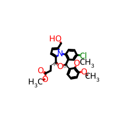 COC(=O)CC[C@H]1O[C@H](c2cccc(OC)c2OC)c2cc(Cl)ccc2-n2c(CO)ccc21